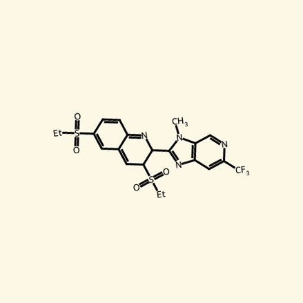 CCS(=O)(=O)c1ccc2c(c1)=CC(S(=O)(=O)CC)C(c1nc3cc(C(F)(F)F)ncc3n1C)N=2